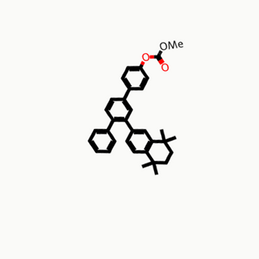 COC(=O)Oc1ccc(-c2ccc(-c3ccccc3)c(-c3ccc4c(c3)C(C)(C)CCC4(C)C)c2)cc1